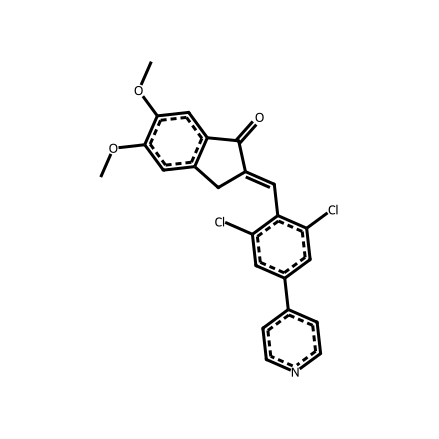 COc1cc2c(cc1OC)C(=O)C(=Cc1c(Cl)cc(-c3ccncc3)cc1Cl)C2